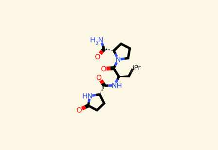 CC(C)C[C@@H](NC(=O)[C@@H]1CCC(=O)N1)C(=O)N1CCC[C@H]1C(N)=O